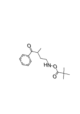 CC(CCNOC(=O)C(C)(C)C)C(=O)c1ccccc1